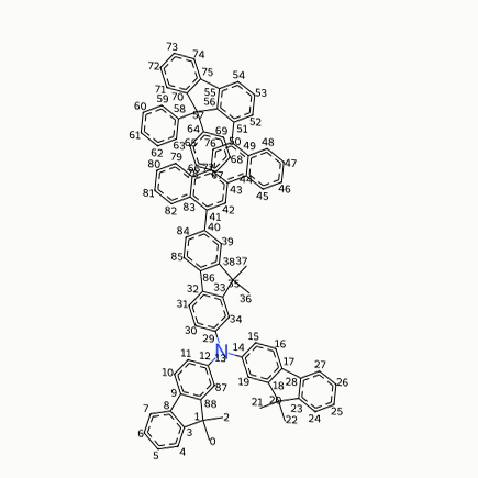 CC1(C)c2ccccc2-c2ccc(N(c3ccc4c(c3)C(C)(C)c3ccccc3-4)c3ccc4c(c3)C(C)(C)c3cc(-c5cc6c7ccccc7c(-c7cccc8c7C(c7ccccc7)(c7ccccc7)c7ccccc7-8)cc6c6ccccc56)ccc3-4)cc21